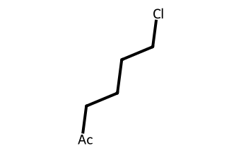 CC(=O)CCCCCl